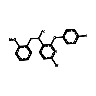 COc1ccccc1CN(C(C)=O)c1ccc(Br)nc1Oc1ccc(I)cc1